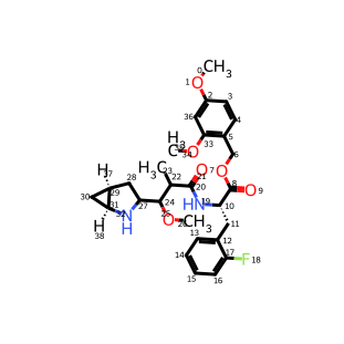 COc1ccc(COC(=O)[C@H](Cc2ccccc2F)NC(=O)C(C)C(OC)C2C[C@@H]3C[C@@H]3N2)c(OC)c1